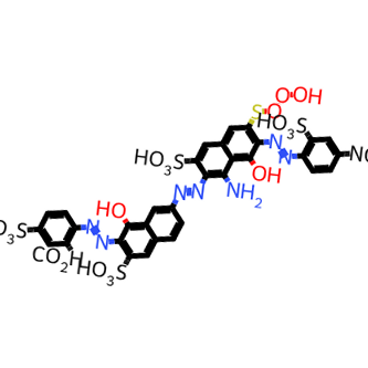 Nc1c(N=Nc2ccc3cc(S(=O)(=O)O)c(N=Nc4ccc(S(=O)(=O)O)cc4C(=O)O)c(O)c3c2)c(S(=O)(=O)O)cc2cc(SOOO)c(N=Nc3ccc([N+](=O)[O-])cc3S(=O)(=O)O)c(O)c12